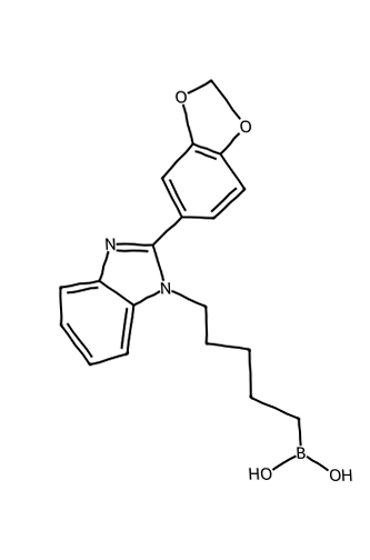 OB(O)CCCCCn1c(-c2ccc3c(c2)OCO3)nc2ccccc21